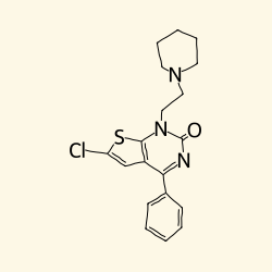 O=c1nc(-c2ccccc2)c2cc(Cl)sc2n1CCN1CCCCC1